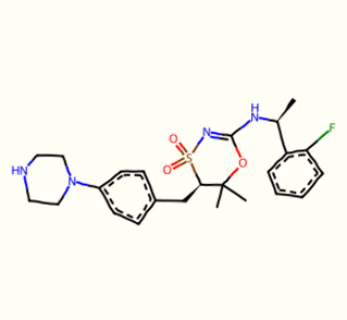 C[C@H](NC1=NS(=O)(=O)[C@H](Cc2ccc(N3CCNCC3)cc2)C(C)(C)O1)c1ccccc1F